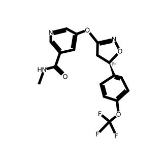 CNC(=O)c1cncc(OC2=NO[C@@H](c3ccc(OC(F)(F)F)cc3)C2)c1